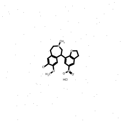 COc1cc2c(cc1Cl)CCN(C)CC2c1cc([N+](=O)[O-])cc2c1OCC2.Cl